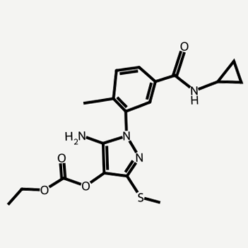 CCOC(=O)Oc1c(SC)nn(-c2cc(C(=O)NC3CC3)ccc2C)c1N